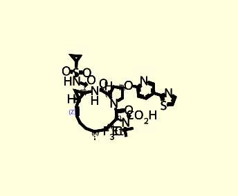 CC[C@@H]1C[C@H](C)CC/C=C\[C@@H]2C[C@@]2(C(=O)NS(=O)(=O)C2CC2)NC(=O)[C@@H]2C[C@@H](Oc3ccc(-c4nccs4)cn3)CN2C(=O)[C@H]1N(C(=O)O)C(C)(C)C(F)(F)F